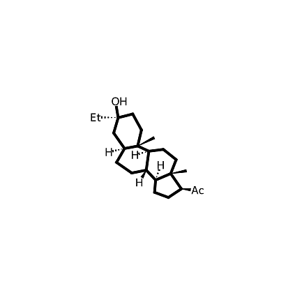 CC[C@]1(O)CC[C@@]2(C)[C@@H](CC[C@@H]3[C@@H]2CC[C@]2(C)[C@@H](C(C)=O)CC[C@@H]32)C1